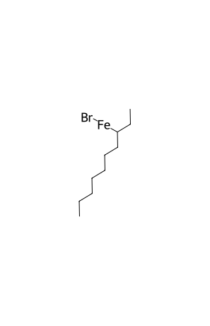 CCCCCCC[CH](CC)[Fe][Br]